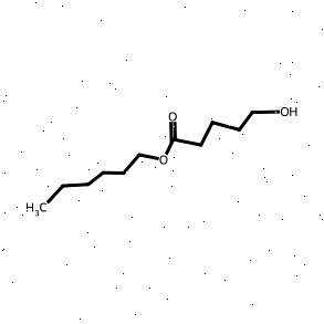 CCCCCCOC(=O)CCCCO